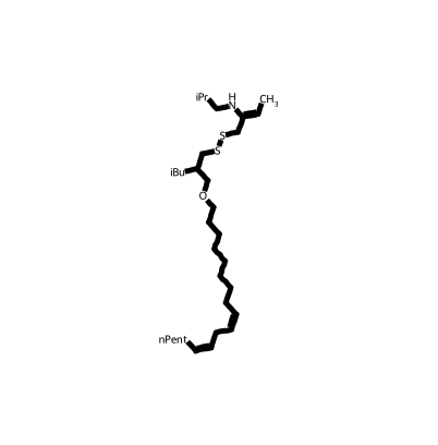 C/C=C(/CSSCC(COCCCCCCCC/C=C\C/C=C\CCCCC)C(C)CC)NCC(C)C